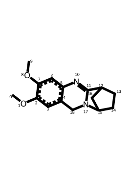 COc1cc2c(cc1OC)N=C1C3CCC(C3)N1C2